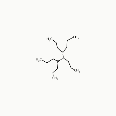 CCCB(P(CCC)CCC)P(CCC)CCC